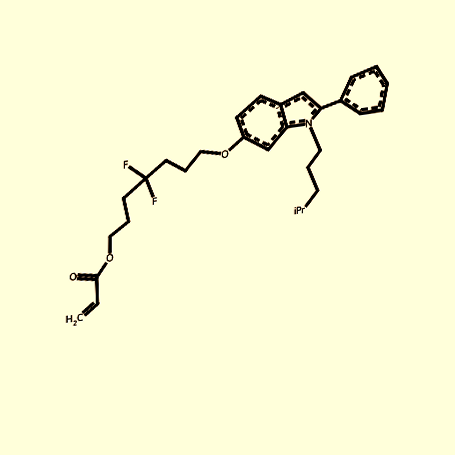 C=CC(=O)OCCCC(F)(F)CCCOc1ccc2cc(-c3ccccc3)n(CCCC(C)C)c2c1